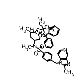 Cc1nc2cnccc2n1Cc1ccc(S(=O)(=O)N(C)C(CO[Si](c2ccccc2)(c2ccccc2)C(C)(C)C)CC(C)C)cc1